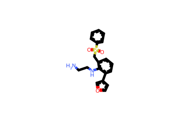 NCCNc1c(CS(=O)(=O)c2ccccc2)cccc1-c1ccoc1